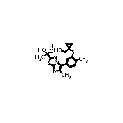 Cc1nc2sc(C(C)(C)O)nn2c1-c1ccc(C(F)(F)F)c(SC2(CO)CC2)c1